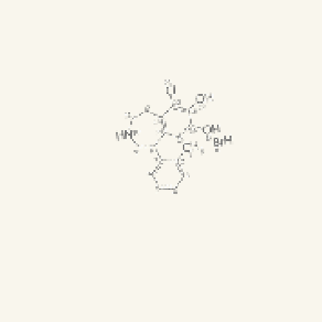 Br.Cc1ccccc1C1CNCCc2c1cc(O)c(O)c2Cl